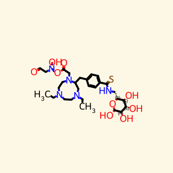 CCN1CCN(CC)CC(Cc2ccc(C(=S)NC[C@H]3OC(O)[C@H](O)[C@@H](O)[C@@H]3O)cc2)N(CC(=O)ON(O)CC=O)CC1